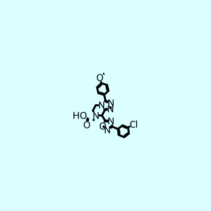 COc1ccc(-c2nnc3n2CCN(C)C3c2nc(-c3cccc(Cl)c3)no2)cc1.O=CO